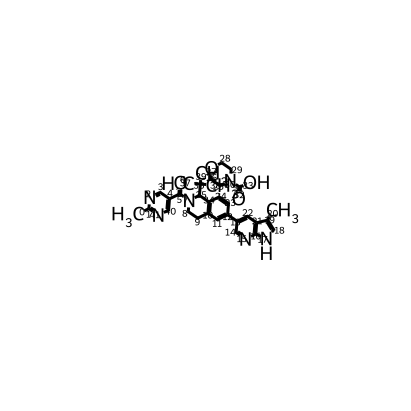 Cc1ncc(C(=O)N2CCc3cc(-c4cnc5[nH]cc(C)c5c4)cc([C@@H]4COCCN4C(=O)O)c3C2C(C)(C)C)cn1